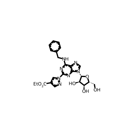 CCOC(=O)c1cnn(-c2nc(NCc3ccccc3)c3ncn([C@@H]4O[C@H](CO)[C@@H](O)[C@H]4O)c3n2)c1